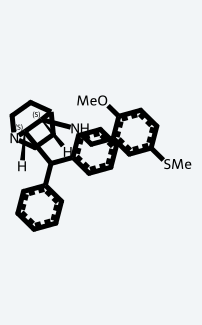 COc1ccc(SC)cc1CN[C@H]1C2CCN(CC2)[C@H]1C(c1ccccc1)c1ccccc1